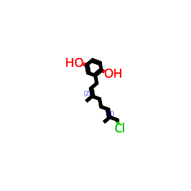 C/C(=C/Cc1cc(O)ccc1O)CC/C=C(\C)CCl